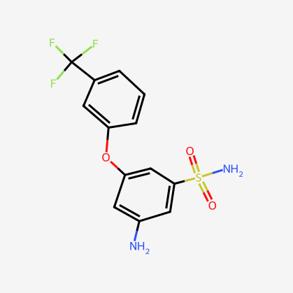 Nc1cc(Oc2cccc(C(F)(F)F)c2)cc(S(N)(=O)=O)c1